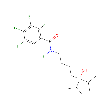 CC(C)[Si](O)(CCCCN(F)C(=O)c1cc(F)c(F)c(F)c1F)C(C)C